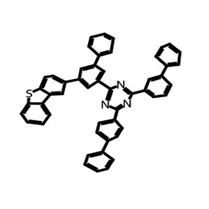 c1ccc(-c2ccc(-c3nc(-c4cccc(-c5ccccc5)c4)nc(-c4cc(-c5ccccc5)cc(-c5ccc6sc7ccccc7c6c5)c4)n3)cc2)cc1